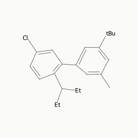 CCC(CC)c1ccc(Cl)cc1-c1cc(C)cc(C(C)(C)C)c1